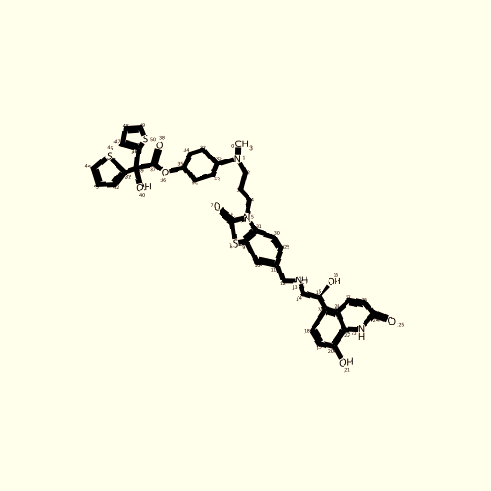 CN(CCCn1c(=O)sc2cc(CNC[C@@H](O)c3ccc(O)c4[nH]c(=O)ccc34)ccc21)C1CCC(OC(=O)C(O)(c2cccs2)c2cccs2)CC1